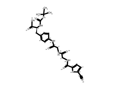 CC(C)(C)OC(=O)N[C@@H](Cc1ccc(NC(=O)CNC(=O)CNC(=O)c2ccc(C#N)s2)cc1)C(=O)O